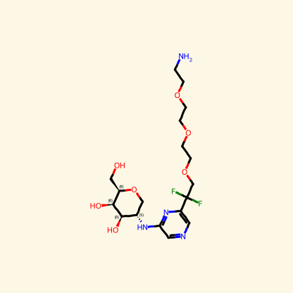 NCCOCCOCCOCC(F)(F)c1cncc(N[C@H]2CO[C@H](CO)[C@H](O)[C@@H]2O)n1